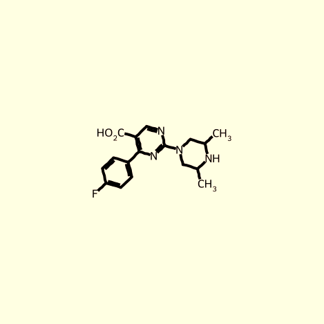 CC1CN(c2ncc(C(=O)O)c(-c3ccc(F)cc3)n2)CC(C)N1